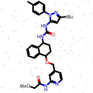 COCC(=O)Nc1cc(COC2CCC(NC(=O)Nc3cc(C(C)(C)C)nn3-c3ccc(C)cc3)c3ccccc32)ccn1